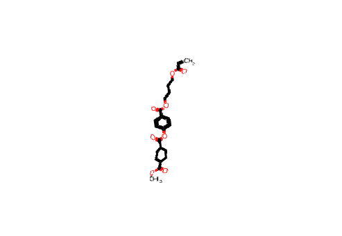 C=CC(=O)OCCCCOC(=O)c1ccc(OC(=O)C2CCC(C(=O)OC)CC2)cc1